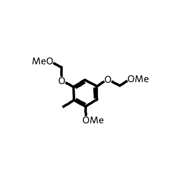 COCOc1cc(OC)c(C)c(OCOC)c1